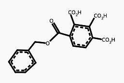 O=C(O)c1ccc(C(=O)OCc2ccccc2)c(C(=O)O)c1C(=O)O